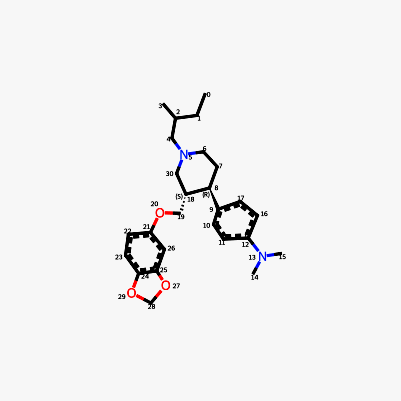 CCC(C)CN1CC[C@@H](c2ccc(N(C)C)cc2)[C@H](COc2ccc3c(c2)OCO3)C1